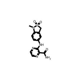 CN1c2ccc(Nc3nccnc3C(N)=O)cc2CS1(=O)=O